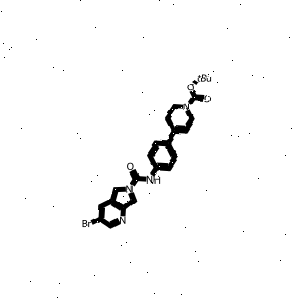 CC(C)(C)OC(=O)N1CC=C(c2ccc(NC(=O)N3Cc4cc(Br)cnc4C3)cc2)CC1